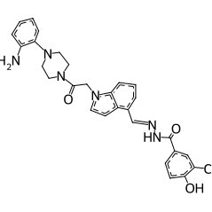 Nc1ccccc1N1CCN(C(=O)Cn2ccc3c(/C=N/NC(=O)c4ccc(O)c(Cl)c4)cccc32)CC1